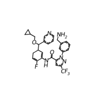 NCc1cccc(-n2nc(C(F)(F)F)cc2C(=O)NC2=CC(C(OCC3CC3)c3cccnc3)CC=C2F)c1